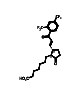 O=C(O)CCCCCC[C@@H]1C(=O)CC[C@H]1C=CC(=O)c1ccc(C(F)(F)F)cc1C(F)(F)F